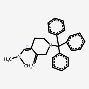 CN(C)/C=C1/CCN(C(c2ccccc2)(c2ccccc2)c2ccccc2)CC1=O